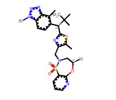 CC[C@@H]1CN(Cc2nc([C@@H](c3ccc4c(nnn4CC)c3C)C(C)(C)C(=O)O)sc2C)S(=O)(=O)c2cccnc2O1